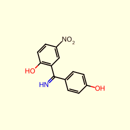 N=C(c1ccc(O)cc1)c1cc([N+](=O)[O-])ccc1O